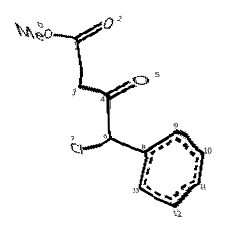 COC(=O)CC(=O)C(Cl)c1ccccc1